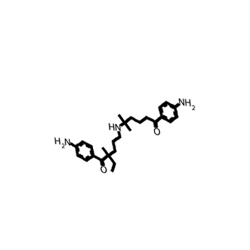 CCC(C)(CCCNC(C)(C)CCCC(=O)c1ccc(N)cc1)C(=O)c1ccc(N)cc1